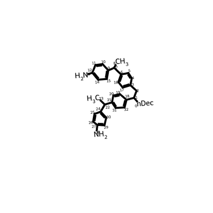 CCCCCCCCCCC(Cc1ccc(C(C)c2ccc(N)cc2)cc1)c1ccc(C(C)c2ccc(N)cc2)cc1